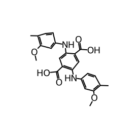 COc1cc(Nc2cc(C(=O)O)c(Nc3ccc(C)c(OC)c3)cc2C(=O)O)ccc1C